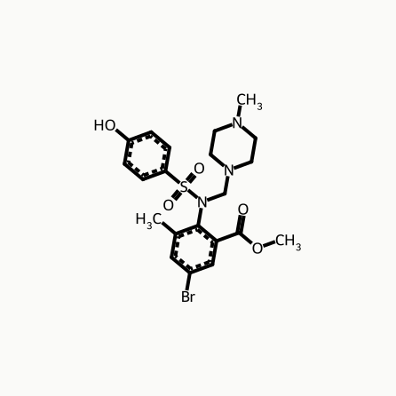 COC(=O)c1cc(Br)cc(C)c1N(CN1CCN(C)CC1)S(=O)(=O)c1ccc(O)cc1